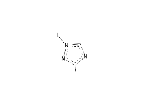 Cc1ncn(I)n1